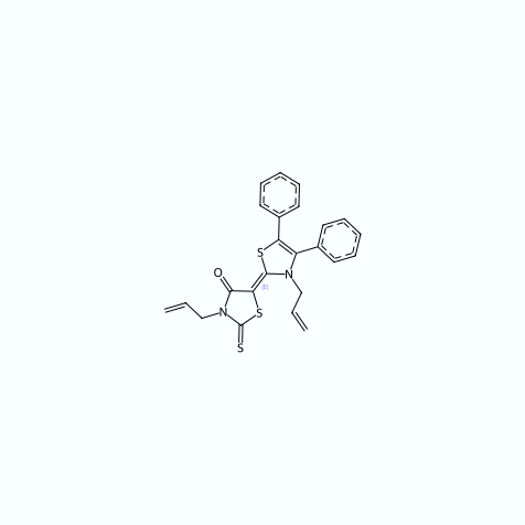 C=CCN1C(=O)/C(=C2\SC(c3ccccc3)=C(c3ccccc3)N2CC=C)SC1=S